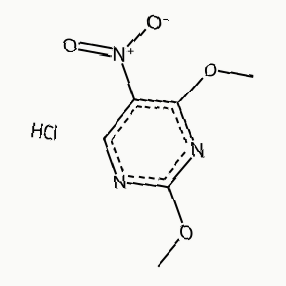 COc1ncc([N+](=O)[O-])c(OC)n1.Cl